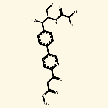 CC(C)(C)OC(=O)CC(=O)c1ccc(-c2ccc([C@@H](O)[C@@H](CF)NC(=O)C(Cl)Cl)cc2)cn1